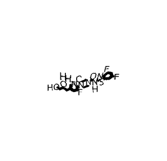 C[C@H]1CN(C(=O)Nc2nc3c(F)cc(F)cc3s2)CCN1c1ncc(C[C@H](O)CO)cc1F